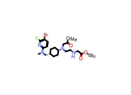 COC(=O)CN(CCNCC(=O)OC(C)(C)C)[C@H]1CC[C@H](CN(C)c2ccc(Br)c(F)n2)CC1